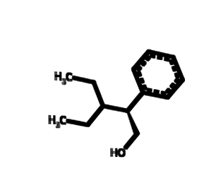 CCC(CC)[C@H](CO)c1ccccc1